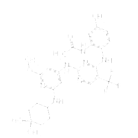 COc1cc(Nc2ncc(C(F)(F)F)c(Nc3ccc(C)cc3NC(C)=O)n2)cc(NC2CCC(C)(O)CC2)n1